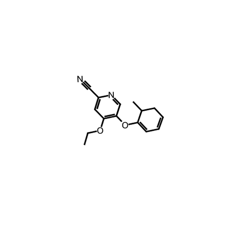 CCOc1cc(C#N)ncc1OC1=CC=CCC1C